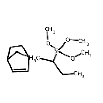 C1=CC2CCC1C2.CCC(C)[Si](OC)(OC)OC